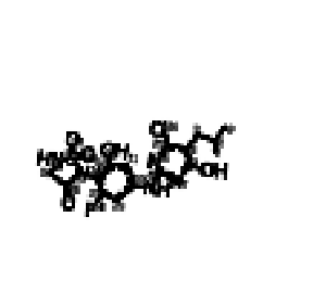 CC(C)Cc1c(O)nc(Nc2cc(O)c(N3C(=O)CNS3(=O)=O)c(F)c2)nc1Cl